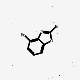 Brc1nc2c(Br)cccc2o1